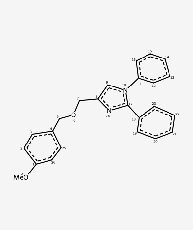 COc1ccc(COCc2cn(-c3ccccc3)c(-c3ccccc3)n2)cc1